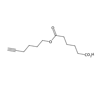 C#CCCCCOC(=O)CCCCC(=O)O